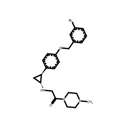 CN1CCN(C(=O)CN[C@@H]2C[C@H]2c2ccc(OCc3cccc(Br)c3)cc2)CC1